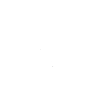 CC(C)N1C(=O)[C@@H](N)COc2ccccc21.Cl